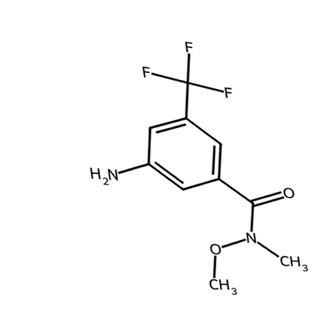 CON(C)C(=O)c1cc(N)cc(C(F)(F)F)c1